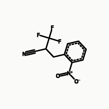 N#CC(Cc1ccccc1[N+](=O)[O-])C(F)(F)F